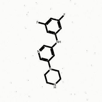 Fc1cc(F)cc(Nc2cncc(N3CCNCC3)c2)c1